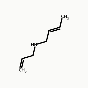 C=CCNC/C=C/C